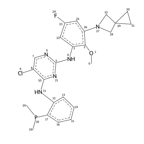 COc1c(Nc2ncc(Cl)c(Nc3ccccc3P(C)C)n2)cc(F)cc1N1CC2(CC2)C1